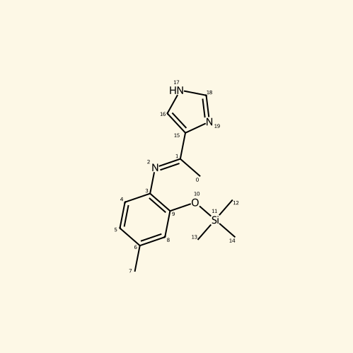 CC(=Nc1ccc(C)cc1O[Si](C)(C)C)c1c[nH]cn1